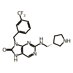 O=c1[nH]c2cnc(NC[C@@H]3CCNC3)nc2n1Cc1cccc(C(F)(F)F)c1